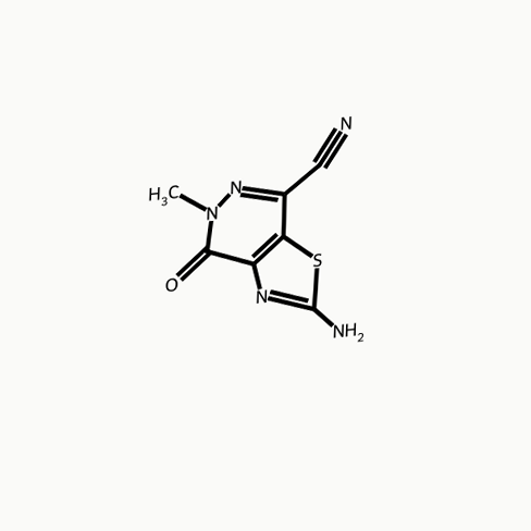 Cn1nc(C#N)c2sc(N)nc2c1=O